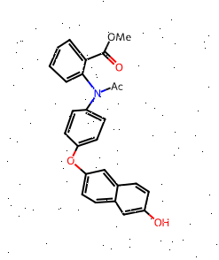 COC(=O)c1ccccc1N(C(C)=O)c1ccc(Oc2ccc3cc(O)ccc3c2)cc1